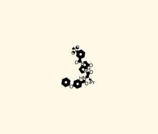 CC(C)C[C@H](NC(=O)c1ccc(Oc2ccccc2)cc1)C(=O)N1CCC2[C@H]1C(=O)CN2C(=O)c1cccc(S(C)(=O)=O)c1